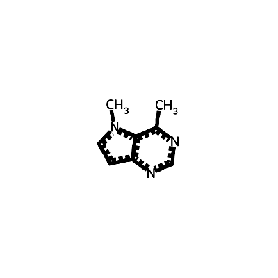 Cc1ncnc2ccn(C)c12